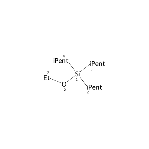 CCCC(C)[Si](OCC)(C(C)CCC)C(C)CCC